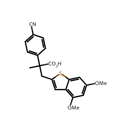 COc1cc(OC)c2cc(CC(C)(C(=O)O)c3ccc(C#N)cc3)sc2c1